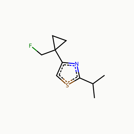 CC(C)c1nc(C2(CF)CC2)cs1